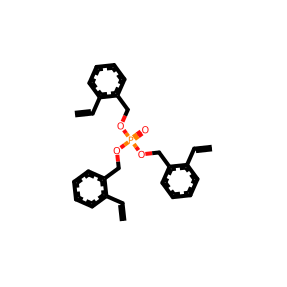 C=Cc1ccccc1COP(=O)(OCc1ccccc1C=C)OCc1ccccc1C=C